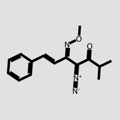 CON=C(C=Cc1ccccc1)C(=[N+]=[N-])C(=O)C(C)C